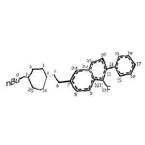 CCCC[C@H]1CC[C@H](CCc2ccc3c(F)c(-c4ccccc4)ccc3c2)CC1